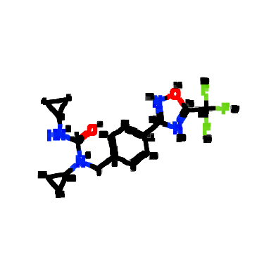 O=C(NC1CC1)N(Cc1ccc(-c2noc(C(F)(F)F)n2)cc1)C1CC1